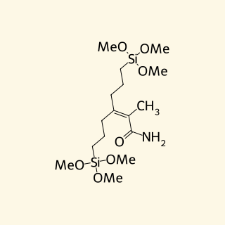 CO[Si](CCCC(CCC[Si](OC)(OC)OC)=C(C)C(N)=O)(OC)OC